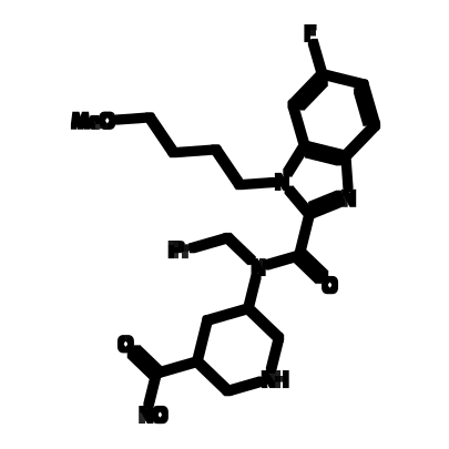 COCCCCn1c(C(=O)N(CC(C)C)C2CNCC(C(=O)N=O)C2)nc2ccc(F)cc21